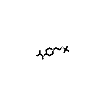 CC(C)NC1CCN(CCOC(C)(C)C)CC1